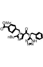 CCCCc1ncc(C(=O)N(Cc2ccccc2)c2nnn[nH]2)n1Cc1ccc(C(=O)OC)cc1